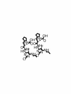 CCCNc1nc(Cl)nc(NNC(=O)[C@@H](CNC(=O)O)CC2CCCC2)c1F.CCCNc1nc(Cl)nc(NNC(=O)[C@@H](CNC(=O)O)CC2CCCC2)c1F